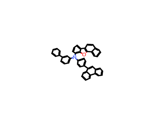 c1ccc(-c2cccc(N(c3ccc(-c4cc5ccccc5c5ccccc45)cc3)c3cccc4c3oc3c5ccccc5ccc43)c2)cc1